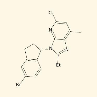 CCc1nc2c(C)cc(Cl)nc2n1[C@H]1CCc2cc(Br)ccc21